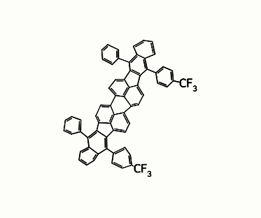 FC(F)(F)c1ccc(-c2c3c(c(-c4ccccc4)c4ccccc24)-c2ccc4c5ccc6c7c(ccc(c8ccc-3c2c48)c75)-c2c-6c(-c3ccccc3)c3ccccc3c2-c2ccc(C(F)(F)F)cc2)cc1